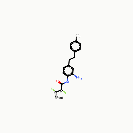 CCCCC[C@@H](F)[C@H](F)C(=O)Nc1ccc(CCc2ccc(C(F)(F)F)cc2)cc1N